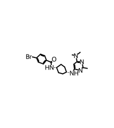 Cc1nc(N[C@H]2CC[C@@H](NC(=O)c3ccc(Br)cc3)CC2)cc(N(C)C)n1